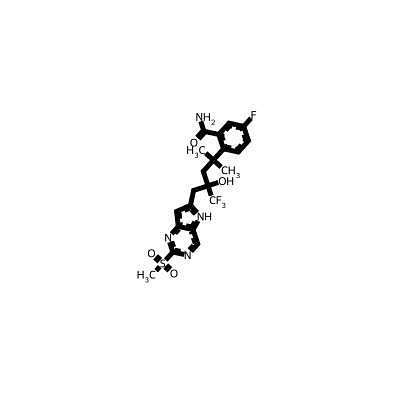 CC(C)(CC(O)(Cc1cc2nc(S(C)(=O)=O)ncc2[nH]1)C(F)(F)F)c1ccc(F)cc1C(N)=O